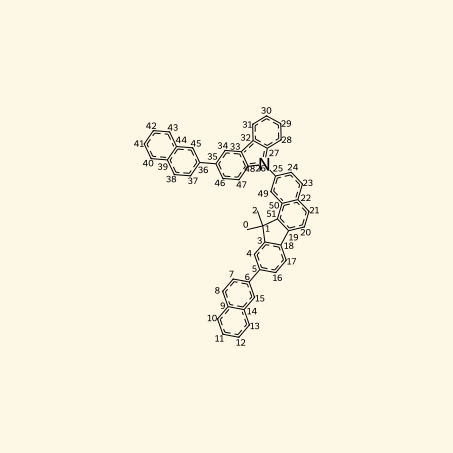 CC1(C)c2cc(-c3ccc4ccccc4c3)ccc2-c2ccc3ccc(-n4c5ccccc5c5cc(-c6ccc7ccccc7c6)ccc54)cc3c21